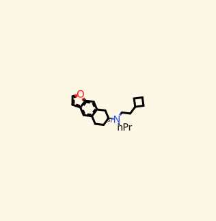 CCCN(CCC1CCC1)[C@H]1CCc2cc3ccoc3cc2C1